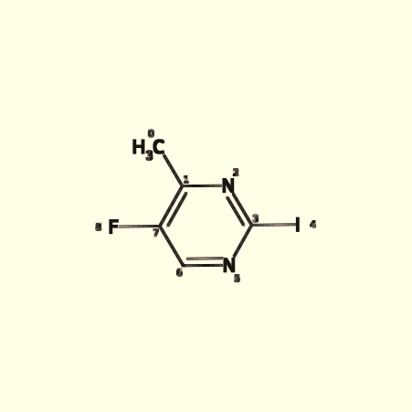 Cc1nc(I)ncc1F